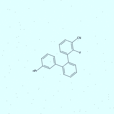 CCCc1cccc(-c2ccccc2-c2cccc(C#N)c2F)c1